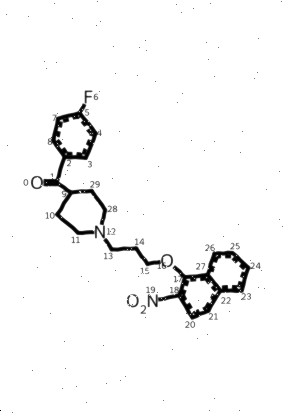 O=C(c1ccc(F)cc1)C1CCN(CCCOc2c([N+](=O)[O-])ccc3ccccc23)CC1